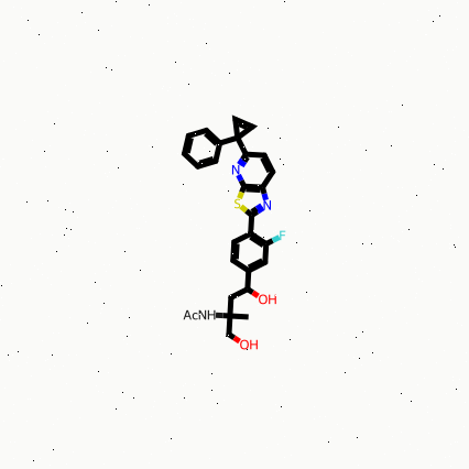 CC(=O)NC(C)(CO)CC(O)c1ccc(-c2nc3ccc(C4(c5ccccc5)C=C4)nc3s2)c(F)c1